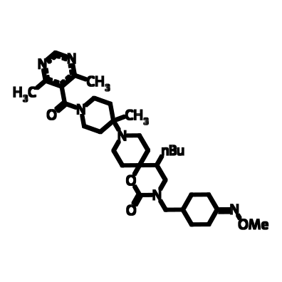 CCCCC1CN(CC2CCC(=NOC)CC2)C(=O)OC12CCN(C1(C)CCN(C(=O)c3c(C)ncnc3C)CC1)CC2